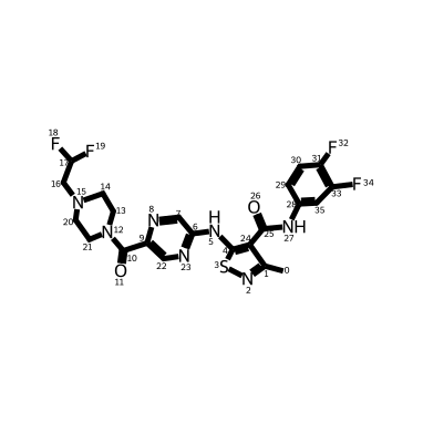 Cc1nsc(Nc2cnc(C(=O)N3CCN(CC(F)F)CC3)cn2)c1C(=O)Nc1ccc(F)c(F)c1